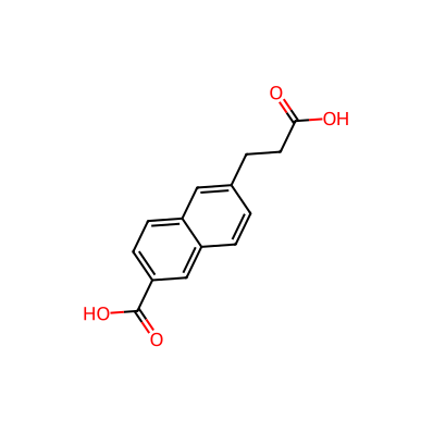 O=C(O)CCc1ccc2cc(C(=O)O)ccc2c1